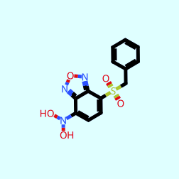 O=S(=O)(Cc1ccccc1)c1ccc(N(O)O)c2nonc12